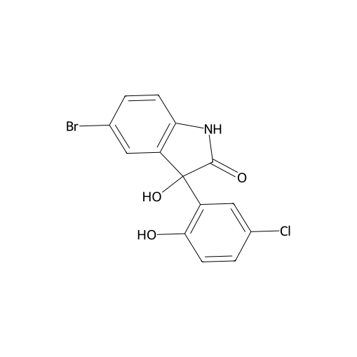 O=C1Nc2ccc(Br)cc2C1(O)c1cc(Cl)ccc1O